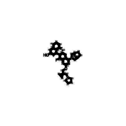 Oc1cc(-c2c(F)cc3c(N4CC5CCC(C4)N5)nc(OCC4(CN5CCCC5)CC4)nc3c2F)c2c(F)cccc2c1